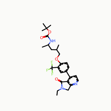 CCN1Cc2nccc(-c3ccc(OCC(C)CC(C)NC(=O)OC(C)(C)C)c(C(F)(F)F)c3)c2C1=O